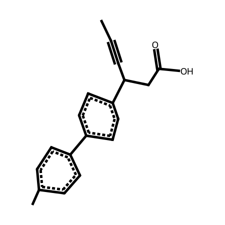 CC#CC(CC(=O)O)c1ccc(-c2ccc(C)cc2)cc1